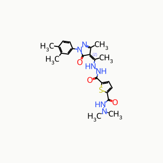 CC1=NN(c2ccc(C)c(C)c2)C(=O)/C1=C(/C)NNC(=O)c1ccc(C(=O)NN(C)C)s1